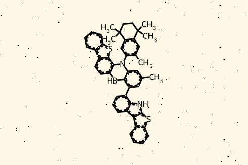 Cc1cc(-c2cccc3c2[nH]c2sc4ccccc4c23)c2c(c1)N(c1cc3c(cc1C)C(C)(C)CCC3(C)C)c1c(ccc3c1sc1ccccc13)B2